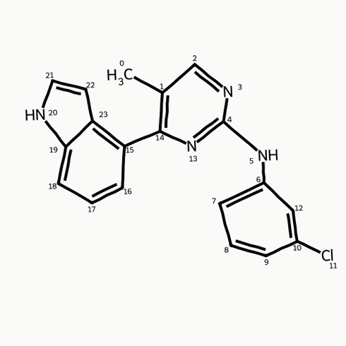 Cc1cnc(Nc2cccc(Cl)c2)nc1-c1cccc2[nH]ccc12